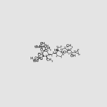 C=C1/C(=C/C=C2\CCC[C@]3(C)[C@@H]([C@H](C)/C=C/[C@@H](O)C4CC4)CC[C@@H]23)C[C@@](C)(O[Si](C)(C)C(C)(C)C)C[C@@H]1O[Si](C)(C)C(C)(C)C